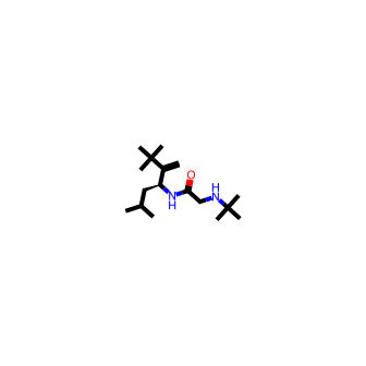 C=C([C@H](CC(C)C)NC(=O)CNC(C)(C)C)C(C)(C)C